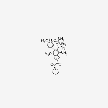 Cc1ccc(-c2c(C)c3c(c(C)c2[C@H](OC(C)(C)C)C(=O)O)CN(C(=O)C(=O)N2CCCCC2)C3)cc1